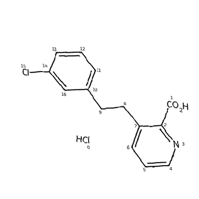 Cl.O=C(O)c1ncccc1CCc1cccc(Cl)c1